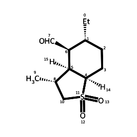 CC[C@@H]1CC[C@@H]2[C@H]([C@H]1C=O)[C@@H](C)CS2(=O)=O